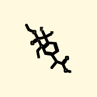 CCOP(=O)(OCC)C(F)(F)c1ccc(C(C)C(=O)OC)cc1